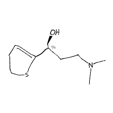 CN(C)CC[C@H](O)C1=CCCS1